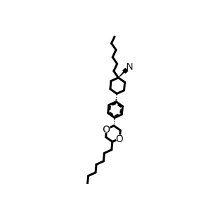 CCCCCCCC1CO[C@H](c2ccc([C@H]3CC[C@@](C#N)(CCCCCC)CC3)cc2)CO1